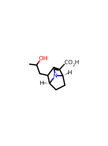 CC(O)CC1C=C(C(=O)O)[C@H]2CC[C@@H]1N2C